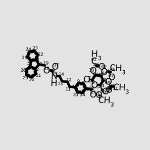 COC(=O)[C@H]1O[C@@H](Oc2cc(CCCCNC(=O)OCC3c4ccccc4-c4ccccc43)ccc2C=O)[C@@H](OC(C)=O)[C@@H](OC(C)=O)[C@@H]1OC(C)=O